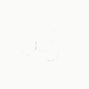 CCOCC.O=P(O)(O)OC(CO)CO